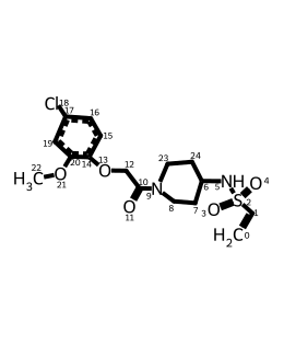 C=CS(=O)(=O)NC1CCN(C(=O)COc2ccc(Cl)cc2OC)CC1